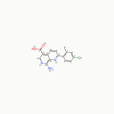 Cc1cc(Cl)ccc1-c1ccc2c(C(=O)O)cnc(N)c2n1